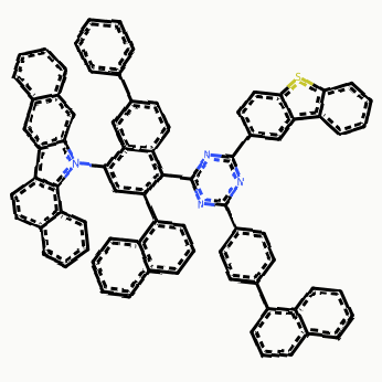 c1ccc(-c2ccc3c(-c4nc(-c5ccc(-c6cccc7ccccc67)cc5)nc(-c5ccc6sc7ccccc7c6c5)n4)c(-c4cccc5ccccc45)cc(-n4c5cc6ccccc6cc5c5ccc6ccccc6c54)c3c2)cc1